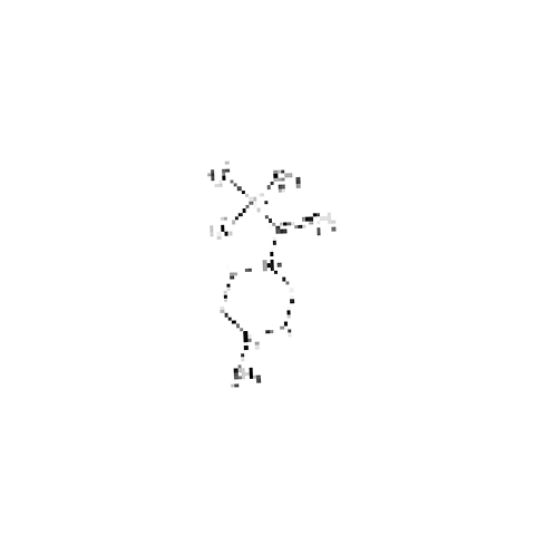 C=C(N1CCN(C)CC1)C(C)(C)C